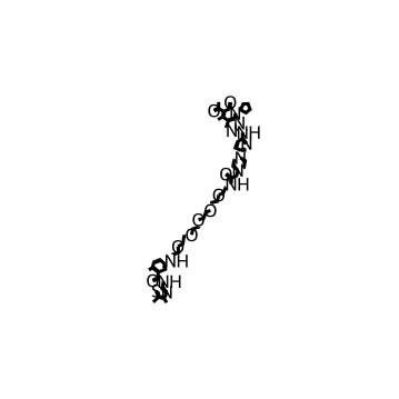 CC(=O)c1c(C)c2cnc(Nc3ccc(N4CCN(CC(=O)NCCOCCOCCOCCOCCOCCNc5ccc(C)c(C(=O)Nc6nc(C)c(C)s6)c5)CC4)cn3)nc2n(C2CCCC2)c1=O